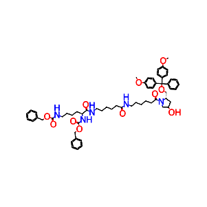 COc1ccc(C(OC[C@@H]2C[C@@H](O)CN2C(=O)CCCCCNC(=O)CCCCCNC(=O)[C@H](CCCCNC(=O)OCc2ccccc2)NC(=O)OCc2ccccc2)(c2ccccc2)c2ccc(OC)cc2)cc1